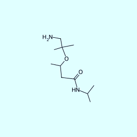 CC(C)NC(=O)CC(C)OC(C)(C)CN